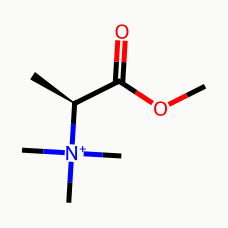 COC(=O)[C@H](C)[N+](C)(C)C